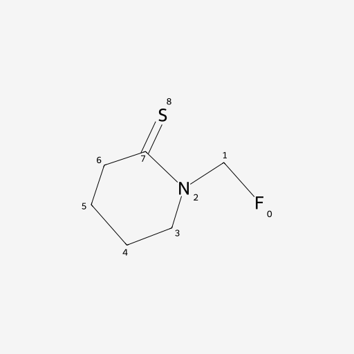 FCN1CCCCC1=S